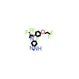 Fc1cc(OCCC(F)F)cc(F)c1[C@H]1[C@@H](C(F)F)CN1c1ccc2[nH]cnc2c1